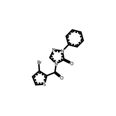 O=C(c1sccc1Br)n1cnn(-c2ccccc2)c1=O